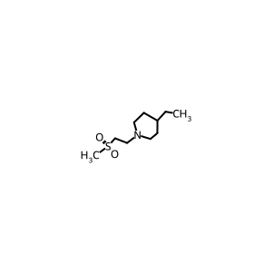 CCC1CCN(CCS(C)(=O)=O)CC1